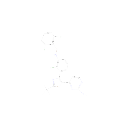 CC(C)(C)c1nc(-c2cccc(NSc3c(F)cccc3F)c2F)c(-c2ccnc(N)n2)s1